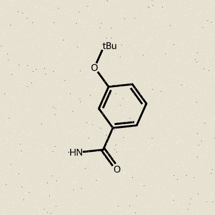 CC(C)(C)Oc1cccc(C([NH])=O)c1